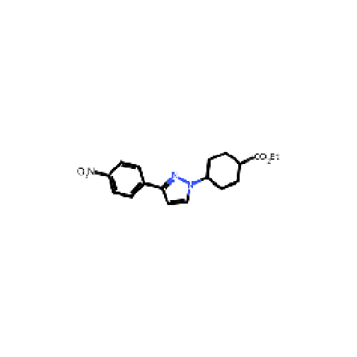 CCOC(=O)C1CCC(n2ccc(-c3ccc([N+](=O)[O-])cc3)n2)CC1